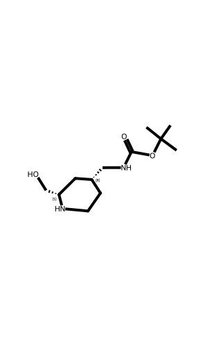 CC(C)(C)OC(=O)NC[C@@H]1CCN[C@H](CO)C1